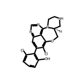 Oc1cccc(Cl)c1-c1cc2ncnc3c2c(c1Cl)OC[C@@H]1CNCCN31